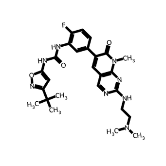 CN(C)CCNc1ncc2cc(-c3ccc(F)c(NC(=O)Nc4cc(C(C)(C)C)no4)c3)c(=O)n(C)c2n1